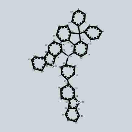 c1ccc(C2(c3ccccc3)c3ccccc3-c3c(N(c4ccc(-c5ccc6c(c5)oc5ccccc56)cc4)c4cccc5c4sc4ccccc45)cccc32)cc1